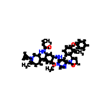 C=CC(=O)NC1=CC(Nc2cc(N3OCC[C@@H]3C3C=CC=C(Oc4ccccc4)C3C)ncn2)C(OC)C=C1C1=CC[C@H](C)N(C2CC2)CC1